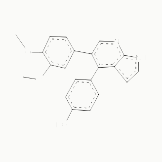 COc1ccc(-c2cnc3[nH]ccc3c2-c2ccc(O)cc2)cc1OC